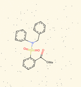 COC(=O)c1ccccc1S(=O)(=O)N(Cc1ccccc1)c1ccccc1